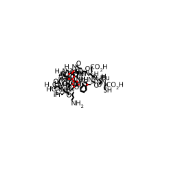 CC[C@H](C)[C@H](NC(=O)[C@H](Cc1c[nH]c2ccccc12)NC(=O)[C@H](CCC(=O)O)NC(=O)[C@H](CCC(N)=O)NC(=O)[C@H](CCCCN)NC(=O)[C@H](CCC(N)=O)NC(=O)[C@H](CCCCN)NC(=O)[C@H](CC(C)C)NC(=O)[C@@H](NC(=O)[C@H](CC(C)C)NC(=O)[C@H](CC(C)C)NC(=O)[C@@H]1CCCN1C(=O)[C@H](C)N)[C@@H](C)O)C(=O)N[C@@H](CS)C(=O)O